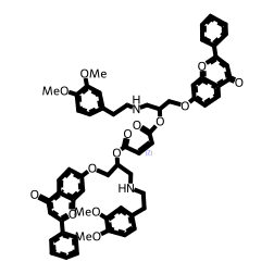 COc1ccc(CCNCC(COc2ccc3c(=O)cc(-c4ccccc4)oc3c2)OC(=O)/C=C\C(=O)OC(CNCCc2ccc(OC)c(OC)c2)COc2ccc3c(=O)cc(-c4ccccc4)oc3c2)cc1OC